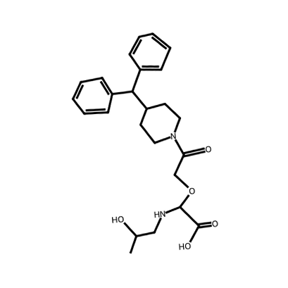 CC(O)CNC(OCC(=O)N1CCC(C(c2ccccc2)c2ccccc2)CC1)C(=O)O